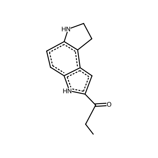 CCC(=O)c1cc2c3c(ccc2[nH]1)NCC3